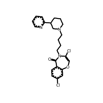 O=C1c2ccc(Cl)cc2OC=C(Cl)N1CCCCN1CCCC(c2ccccn2)C1